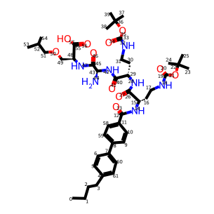 CCCCc1ccc(-c2ccc(C(=O)N[C@@H](CCNC(=O)OC(C)(C)C)C(=O)N[C@@H](CCNC(=O)OC(C)(C)C)C(=O)N[C@@H](N)C(=O)N[C@@H](COCC(C)C)C(=O)O)cc2)cc1